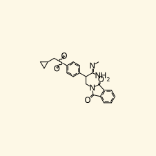 C/N=C(\N)C(CN1C(=O)c2ccccc2C1=O)c1ccc(S(=O)(=O)CC2CC2)cc1